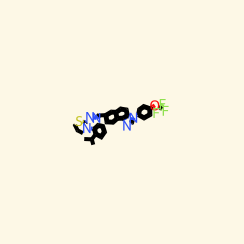 CC(C)c1ccccc1N1CCCS/C1=N/N=C/c1ccc2c(ccc3c2ncn3-c2ccc(OC(F)(F)F)cc2)c1